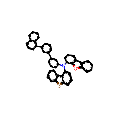 c1cc(-c2cccc(N(c3cccc4c3oc3ccccc34)c3cccc4sc5ccccc5c34)c2)cc(-c2cccc3ccccc23)c1